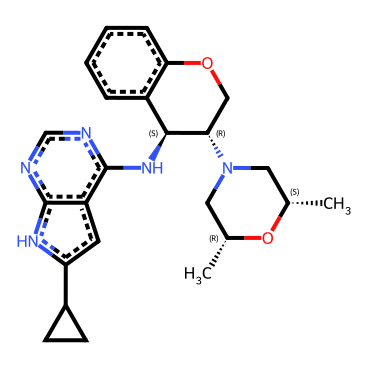 C[C@@H]1CN([C@H]2COc3ccccc3[C@@H]2Nc2ncnc3[nH]c(C4CC4)cc23)C[C@H](C)O1